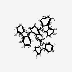 c1ccc2c(c1)c1ccccc1n2-c1nc2c(-n3c4ccccc4c4ccccc43)ccc(-n3c4ccccc4c4ccccc43)c2s1